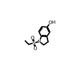 CCS(=O)(=O)N1CCc2cc(O)ccc21